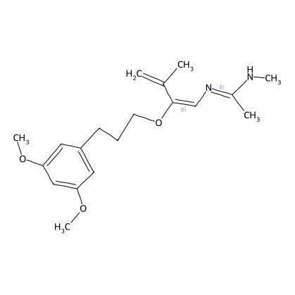 C=C(C)/C(=C\N=C(/C)NC)OCCCc1cc(OC)cc(OC)c1